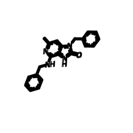 Cc1cc2c([nH]c(=O)n2Cc2ccccc2)c(NCc2ccccc2)n1